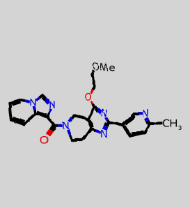 COCCOc1nc(-c2ccc(C)nc2)nc2c1CN(C(=O)c1ncn3ccccc13)CC2